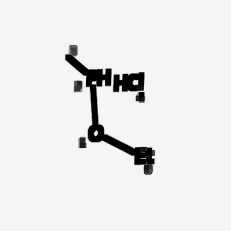 CCOPC.Cl